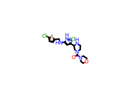 Cl.O=C(N1CCOCC1)N1CCNC(c2cc(NCc3ccc(Cl)s3)[nH]n2)C1